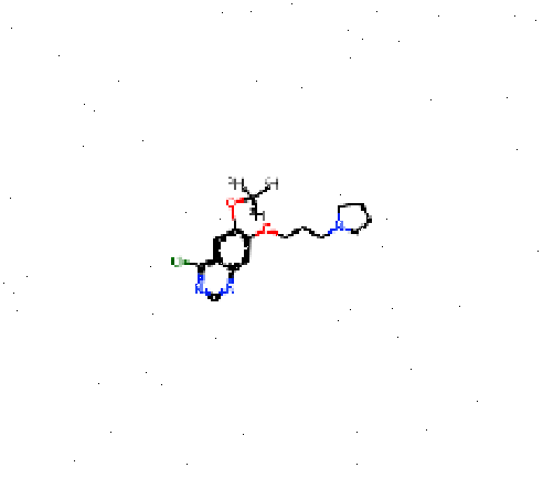 [2H]C([2H])([2H])Oc1cc2c(Cl)ncnc2cc1OCCCN1CCCC1